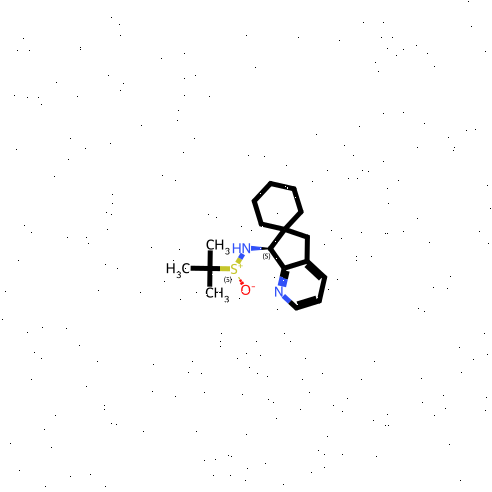 CC(C)(C)[S@@+]([O-])N[C@@H]1c2ncccc2CC12CCCCC2